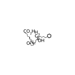 C[C@@H](CCCCc1ccccc1)[C@H](O)CC[C@H]1CCC(=O)N1CC=CCCCC(=O)O